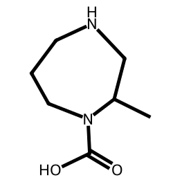 CC1CNCCCN1C(=O)O